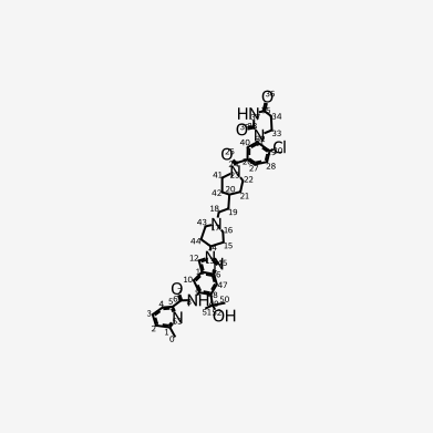 Cc1cccc(C(=O)Nc2cc3cn(C4CCN(CCC5CCN(C(=O)c6ccc(Cl)c(N7CCC(=O)NC7=O)c6)CC5)CC4)nc3cc2C(C)(C)O)n1